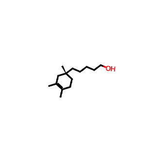 CC1=C(C)C[C@](C)(CCCCCO)CC1